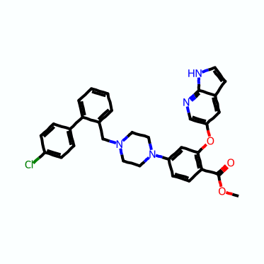 COC(=O)c1ccc(N2CCN(Cc3ccccc3-c3ccc(Cl)cc3)CC2)cc1Oc1cnc2[nH]ccc2c1